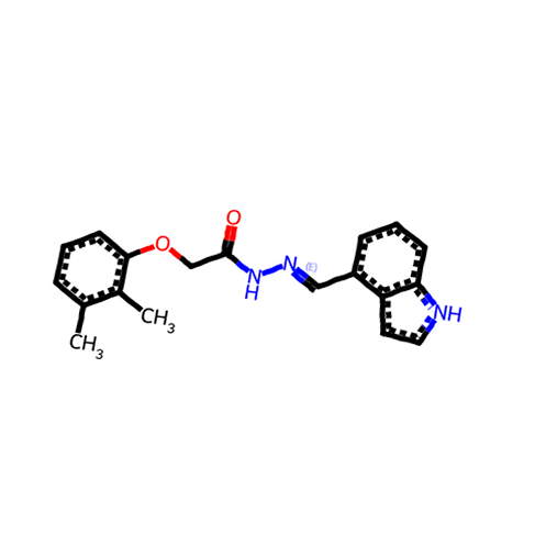 Cc1cccc(OCC(=O)N/N=C/c2cccc3[nH]ccc23)c1C